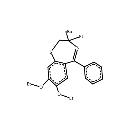 CCCCC1(CC)CSc2cc(OCC)c(OCC)cc2C(c2ccccc2)=N1